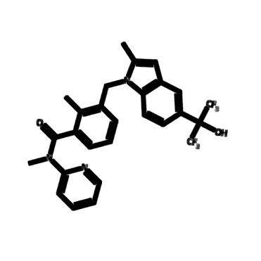 Cc1c(Cn2c(C)cc3cc(C(O)(C(F)(F)F)C(F)(F)F)ccc32)cccc1C(=O)N(C)c1ccccn1